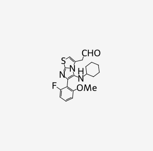 COc1cccc(F)c1-c1nc2scc(CC=O)n2c1NC1CCCCC1